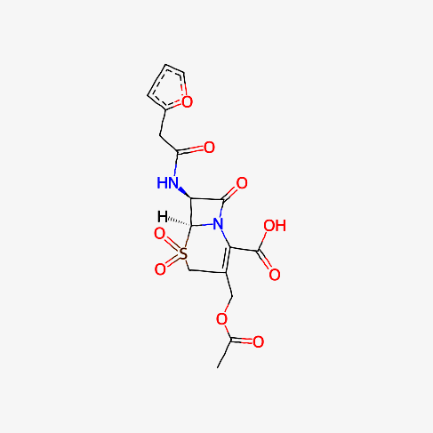 CC(=O)OCC1=C(C(=O)O)N2C(=O)[C@H](NC(=O)Cc3ccco3)[C@@H]2S(=O)(=O)C1